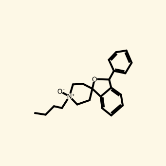 CCCC[N+]1([O-])CCC2(CC1)OC(c1ccccc1)c1ccccc12